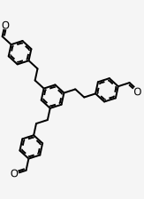 O=Cc1ccc(CCc2cc(CCc3ccc(C=O)cc3)cc(CCc3ccc(C=O)cc3)c2)cc1